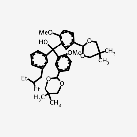 CCC(CC)Cc1cccc(C(O)(c2cc(C3OCC(C)(C)CO3)ccc2OC)c2cc(C3OCC(C)(C)CO3)ccc2OC)c1